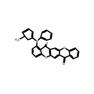 CC1C=CC=C(N(c2ccccc2)c2cccc3oc4cc5c(=O)c6ccccc6oc5cc4c(=O)c23)C1